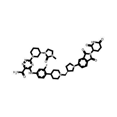 CN1CCN([C@@H]2CCCN(c3nnc(C(N)=O)c(Nc4ccc(C5CCN(C[C@H]6CCN(c7ccc8c(c7)C(=O)N(C7CCC(=O)NC7=O)C8=O)C6)CC5)c(F)c4)n3)C2)C1=O